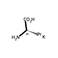 CC(C)[C@H](N)C(=O)O.[K]